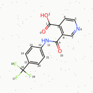 O=C(O)c1ccncc1C(=O)Nc1ccc(C(F)(F)F)cc1